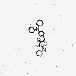 CCN1C(=O)/C(=C\c2ccc(N(C3=CC=CC=CC3)c3ccccc3)cc2)O/C1=N/C1CCCCC1